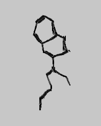 CCCCN(CC)c1[c]nc2ccccc2c1